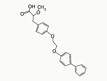 COC(Cc1ccc(OCCOc2ccc(-c3ccccc3)cc2)cc1)C(=O)O